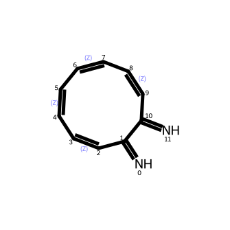 N=C1\C=C/C=C\C=C/C=C\C1=N